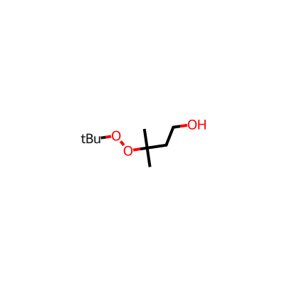 CC(C)(C)OOC(C)(C)CCO